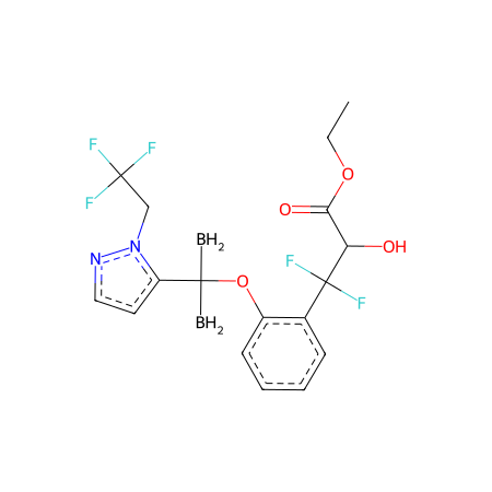 BC(B)(Oc1ccccc1C(F)(F)C(O)C(=O)OCC)c1ccnn1CC(F)(F)F